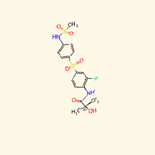 C[C@@](O)(C(=O)Nc1ccc(S(=O)(=O)c2ccc(NS(C)(=O)=O)cc2)cc1F)C(F)(F)F